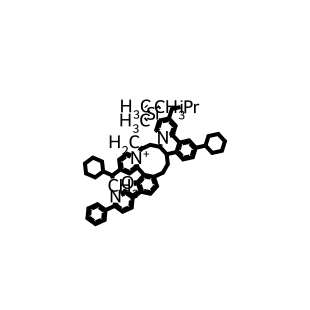 C=C1CC2C(CCc3ccc4c(oc5nc(-c6ccccc6)ccc54)c3-c3cc(C(C)C4CCCCC4)cc[n+]31)c1ccc(C3CCCCC3)cc1-c1cc(CC(C)C)c([Si](C)(C)C)c[n+]12